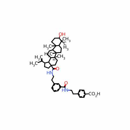 C=C(C)C1CCC2(C(=O)NCCc3cccc(C(=O)NCCc4ccc(C(=O)O)cc4)c3)CC[C@]3(C)C(CCC4C5(C)CCC(O)C(C)(C)C5CCC43C)C12